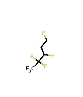 FCCC(F)C(F)(F)C(F)(F)F